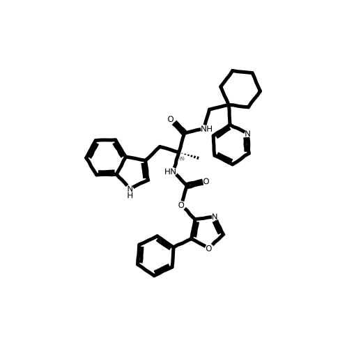 C[C@@](Cc1c[nH]c2ccccc12)(NC(=O)Oc1ncoc1-c1ccccc1)C(=O)NCC1(c2ccccn2)CCCCC1